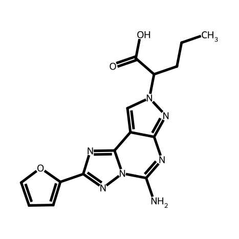 CCCC(C(=O)O)n1cc2c(nc(N)n3nc(-c4ccco4)nc23)n1